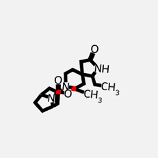 CCOC(=O)N1C2C=C(N3CCC4(CC3)CC(=O)NC4CC)CC1CC2